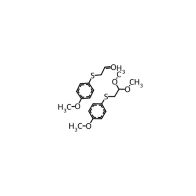 COc1ccc(SCC(OC)OC)cc1.COc1ccc(SCC=O)cc1